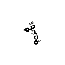 N#Cc1ccccc1N1CCN(CC(O)Cn2nc(-c3ccc(I)cc3)c3c2CCN(S(=O)(=O)C(F)(F)F)C3)CC1